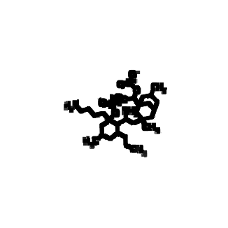 CCCC1CC(C)CC(CCCCN)(O[N+](=O)[O-])C1C(N)CC1(C)CC2CC(C)CC(C(C)O[N+](=O)[O-])(C2)C1